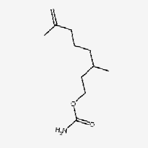 C=C(C)CCCC(C)CCOC(N)=O